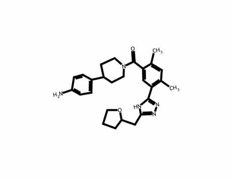 Cc1cc(C)c(-c2nnc(CC3CCCO3)[nH]2)cc1C(=O)N1CCC(c2ccc(N)cc2)CC1